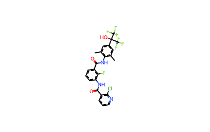 Cc1cc(C(O)(C(F)(F)F)C(F)(F)F)cc(C)c1NC(=O)c1cccc(NC(=O)c2cccnc2Cl)c1F